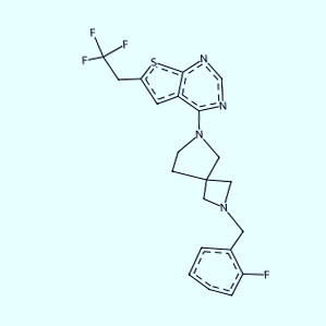 Fc1ccccc1CN1CC2(CCN(c3ncnc4sc(CC(F)(F)F)cc34)C2)C1